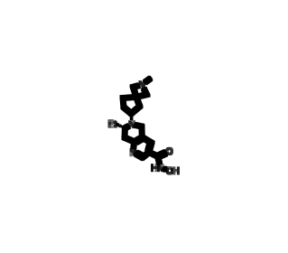 CC[C@H]1Cc2ncc(C(=O)NO)cc2CN1[C@@H]1CCC2(C1)CN(C)C2